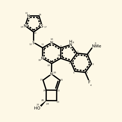 CNc1cc(F)cc2c1[nH]c1nc(Sc3nncs3)nc(N3C=C4C[C@@H](O)C4C3)c12